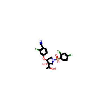 CC(O)[C@]1(O)CN(S(=O)(=O)c2ccc(Cl)cc2Cl)C[C@@H]1Oc1ccc(C#N)c(F)c1